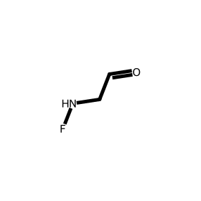 O=CCNF